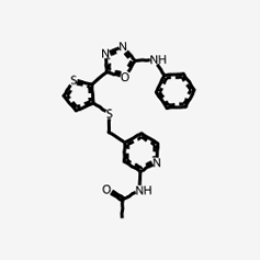 CC(=O)Nc1cc(CSc2ccsc2-c2nnc(Nc3ccccc3)o2)ccn1